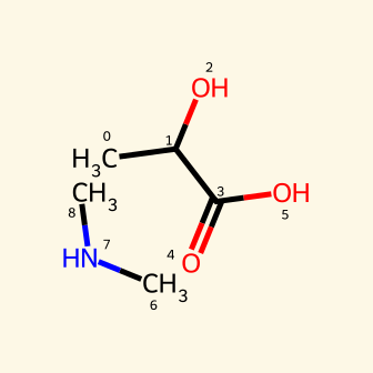 CC(O)C(=O)O.CNC